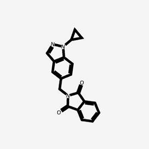 O=C1c2ccccc2C(=O)N1Cc1ccc2c(cnn2C2CC2)c1